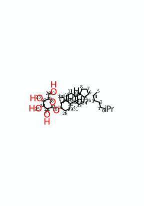 CC(C)CCCC(C)[C@H]1CC[C@H]2[C@@H]3CC[C@H]4C[C@@H](O[C@@H]5O[C@H](CO)[C@@H](O)[C@H](O)[C@H]5O)CC[C@]4(C)[C@H]3CC[C@]12C